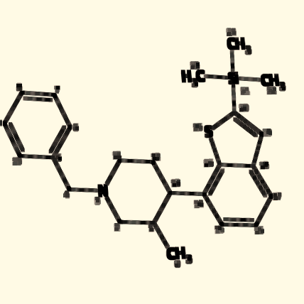 CC1CN(Cc2ccccc2)CCC1c1cccc2cc([Si](C)(C)C)sc12